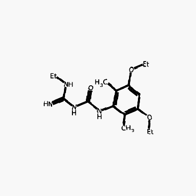 CCNC(=N)NC(=O)Nc1c(C)c(OCC)cc(OCC)c1C